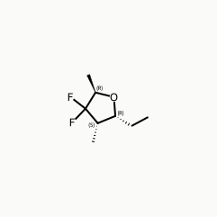 CC[C@H]1O[C@H](C)C(F)(F)[C@H]1C